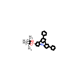 CC1(C)OB(c2ccc3c(c2)c2cc(-c4ccccc4)cc4c5cc(-c6ccccc6)ccc5n3c24)OC1(C)C